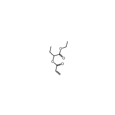 C=CC(=O)OC(CC)C(=O)OCC